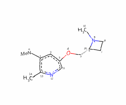 CNc1cc(OC[C@H]2CCN2C)cnc1C